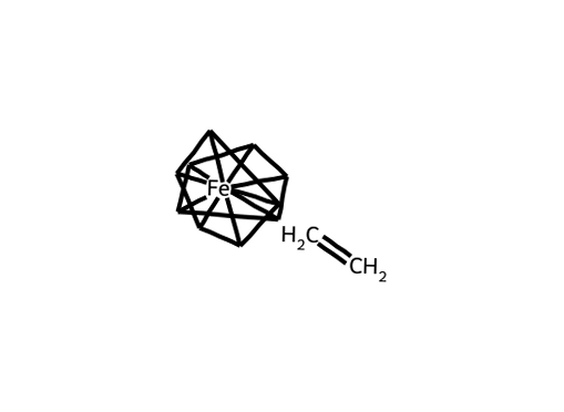 C=C.[CH]12[CH]3[CH]4[CH]5[CH]1[Fe]23451678[CH]2[CH]1[CH]6[CH]7[CH]28